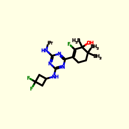 BC1(B)CCC(c2nc(NC(C)C)nc(NC3CC(F)(F)C3)n2)=C(F)C1(B)O